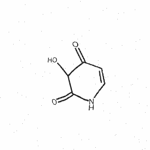 O=C1C=CNC(=O)C1O